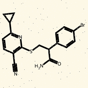 N#Cc1ccc(C2CC2)nc1SCC(C(N)=O)c1ccc(Br)cc1